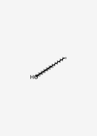 CCCCCCCCCC/C=C/CCCCCCCCCCO